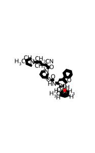 CC1(C)CCN(C(C)(C)CCC(C#N)C(=O)N2CCC[C@H](OC(=O)N[C@@H](Cc3coc4ccccc34)B3O[C@@H]4C[C@@H]5C[C@@H](C5(C)C)[C@]4(C)O3)C2)C1